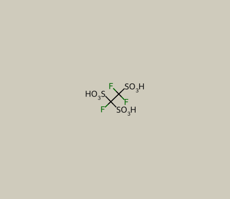 O=S(=O)(O)C(F)(F)C(F)(S(=O)(=O)O)S(=O)(=O)O